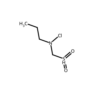 CCCN(Cl)C[SH](=O)=O